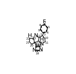 NC1C(c2ccc(F)cc2)CCN[C@H]1C1(n2cncn2)CCCC1